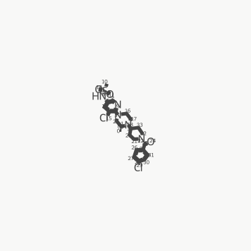 C[C@H]1CN(c2ncc(NS(C)(=O)=O)cc2Cl)CCN1C1CCN(C(=O)c2ccc(Cl)cc2)CC1